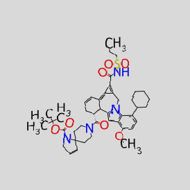 CCCS(=O)(=O)NC(=O)C1=C2Cn3c(cc4c(OC)ccc(C5CCCCC5)c43)C3C(=C21)C=CC[C@H]3C(=O)N1CCC2(CCCN2C(=O)OC(C)(C)C)CC1